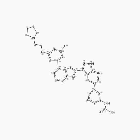 CCCCC(=O)Nc1cncc(-c2cnc3[nH]nc(-c4cc5c(-c6cc(F)cc(OCCN7CCCC7)c6)nccc5[nH]4)c3c2)c1